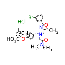 Cc1oc(-c2cccc(Br)c2)nc1CN(CC(=O)N(C)C)Cc1ccc(OC(C)(C)C(=O)O)cc1.Cl